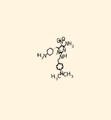 CN(C)c1ccc(CNc2nc(N)c([N+](=O)[O-])c(C[C@H]3CC[C@H](N)CC3)n2)cc1